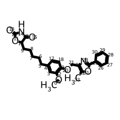 COc1cc(CCCCCC2OC(=O)NC2=O)ccc1OCc1nc(-c2ccccc2)oc1C